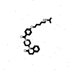 CC(C)NCCCCCOc1ccc(C(=O)N2CCC(N3C(=O)CCc4ccccc43)CC2)cc1